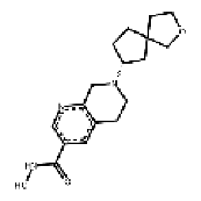 O=C(NO)c1cnc2c(c1)CCN([C@@H]1CCC3(CCOC3)C1)C2